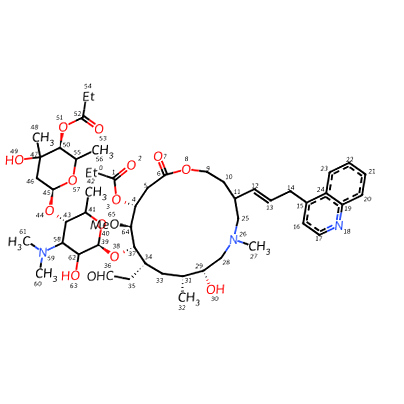 CCC(=O)O[C@@H]1CC(=O)OCCC(/C=C/Cc2ccnc3ccccc23)CN(C)C[C@H](O)[C@H](C)C[C@H](CC=O)[C@H](O[C@@H]2OC(C)[C@@H](O[C@H]3CC(C)(O)[C@@H](OC(=O)CC)C(C)O3)C(N(C)C)C2O)[C@H]1OC